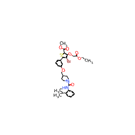 CCOC(=O)COc1c(C(=O)OC)sc(-c2cccc(OCC3CCN(C(=O)Nc4ccccc4C(C)C)CC3)c2)c1Br